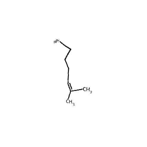 [CH2]CCCCCC=C(C)C